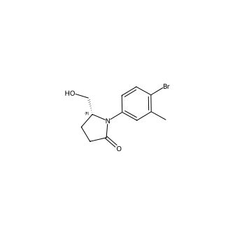 Cc1cc(N2C(=O)CC[C@@H]2CO)ccc1Br